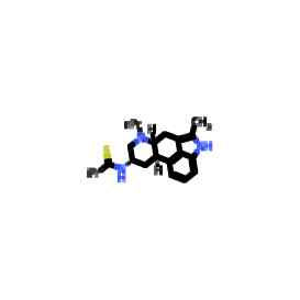 CCCN1C[C@@H](NC(=S)C(C)C)C[C@@H]2c3cccc4[nH]c(C)c(c34)C[C@H]21